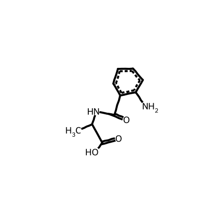 CC(NC(=O)c1ccccc1N)C(=O)O